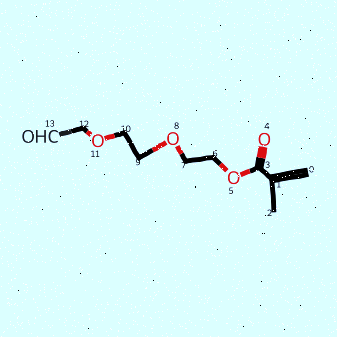 C=C(C)C(=O)OCCOCCOCC=O